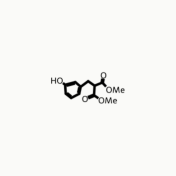 COC(=O)C(Cc1cccc(O)c1)C(=O)OC